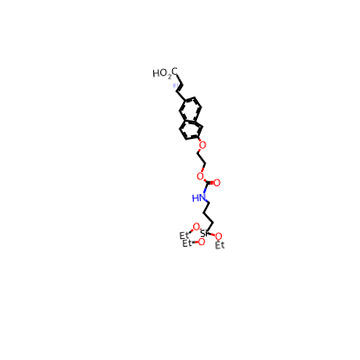 CCO[Si](CCCNC(=O)OCCOc1ccc2cc(/C=C/C(=O)O)ccc2c1)(OCC)OCC